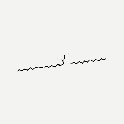 CCCCCCCCCCCCCCCC=CC(CCCCCCCCCCCCCCCC)C(O)[C@@H](O)CO